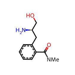 CNC(=O)c1ccccc1C[C@@H](N)CO